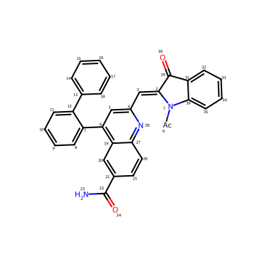 CC(=O)N1/C(=C\c2cc(-c3ccccc3-c3ccccc3)c3cc(C(N)=O)ccc3n2)C(=O)c2ccccc21